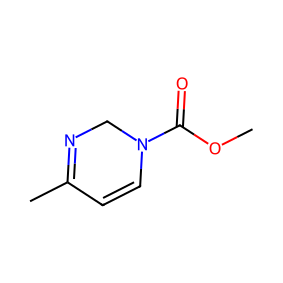 COC(=O)N1C=CC(C)=NC1